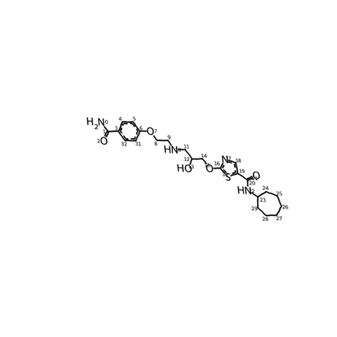 NC(=O)c1ccc(OCCNCC(O)COc2ncc(C(=O)NC3CCCCCC3)s2)cc1